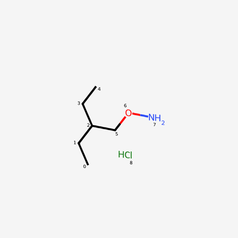 CCC(CC)CON.Cl